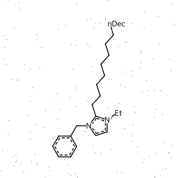 CCCCCCCCCCCCCCCCCCc1n(Cc2ccccc2)cc[n+]1CC